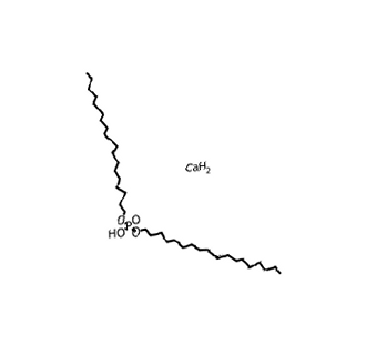 CCCCCCCCCCCCCCCCCCOP(=O)(O)OCCCCCCCCCCCCCCCCCC.[CaH2]